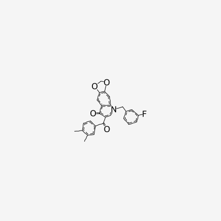 Cc1ccc(C(=O)c2cn(Cc3cccc(F)c3)c3cc4c(cc3c2=O)OCO4)cc1C